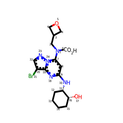 O=C(O)N(CC1COC1)c1cc(N[C@H]2CCCC[C@H]2O)nc2c(Br)cnn12